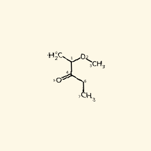 [CH2]C(OC)C(=O)CC